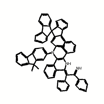 CC1(C)c2ccccc2-c2ccc(N(C3=C(c4ccccc4)N/C(=C(\C(=N)c4ccccc4)c4ccccc4)c4ccccc43)c3ccc4c(c3)C3(c5ccccc5-c5ccccc53)c3ccccc3-4)cc21